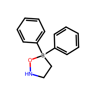 c1ccc([B-]2(c3ccccc3)CCNO2)cc1